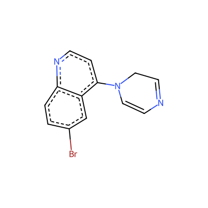 Brc1ccc2nccc(N3C=CN=CC3)c2c1